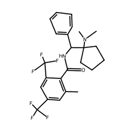 Cc1cc(C(F)(F)F)cc(C(F)(F)F)c1C(=O)NC(c1ccccc1)C1(N(C)C)CCCC1